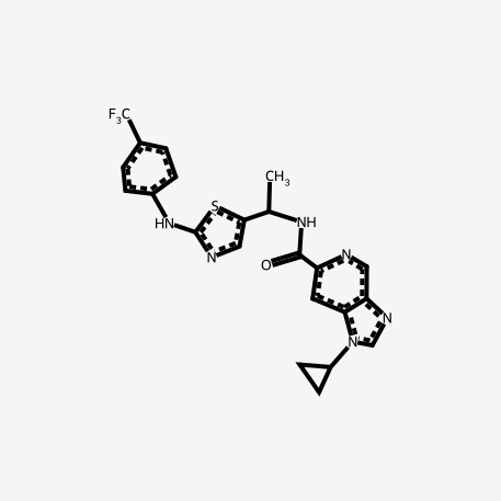 CC(NC(=O)c1cc2c(cn1)ncn2C1CC1)c1cnc(Nc2ccc(C(F)(F)F)cc2)s1